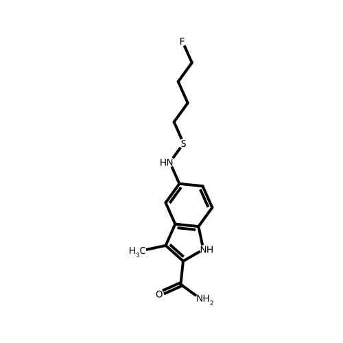 Cc1c(C(N)=O)[nH]c2ccc(NSCCCCF)cc12